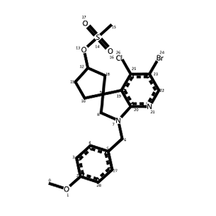 COc1ccc(CN2CC3(CCC(OS(C)(=O)=O)C3)c3c2ncc(Br)c3Cl)cc1